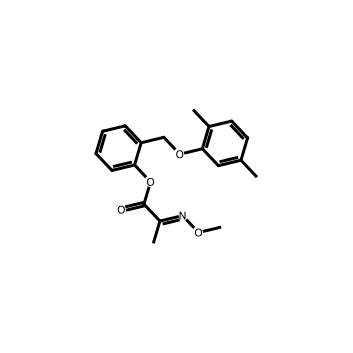 CON=C(C)C(=O)Oc1ccccc1COc1cc(C)ccc1C